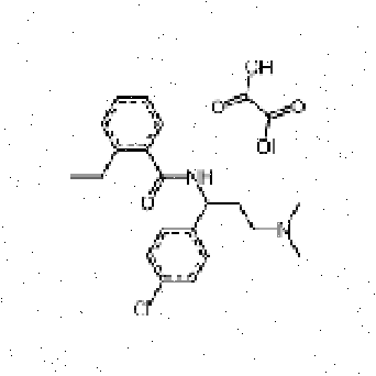 CCc1ccccc1C(=O)NC(CCN(C)C)c1ccc(Cl)cc1.O=C(O)C(=O)O